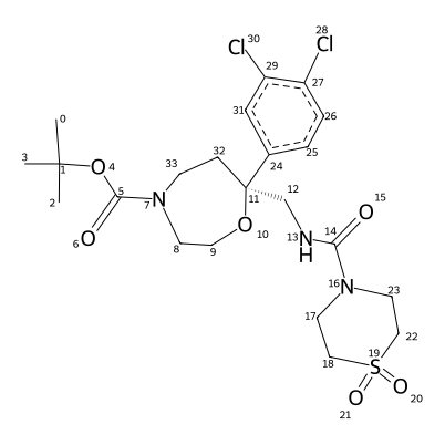 CC(C)(C)OC(=O)N1CCO[C@](CNC(=O)N2CCS(=O)(=O)CC2)(c2ccc(Cl)c(Cl)c2)CC1